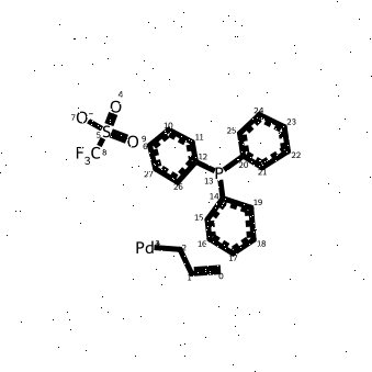 C=C[CH2][Pd+].O=S(=O)([O-])C(F)(F)F.c1ccc(P(c2ccccc2)c2ccccc2)cc1